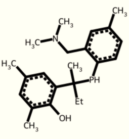 CCC(C)(Pc1ccc(C)cc1CN(C)C)c1cc(C)cc(C)c1O